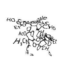 CCC(=O)O[C@@H]1C(C)O[C@@H](O[C@@H]2C(C)O[C@@H](O[C@@H]([C@@H](CC(OC)OC)C[C@@H](C)[C@H](C=O)OC(C)=O)[C@@H](OC)[C@@H](CC(=O)O)OC(=O)CC)C(OC(C)=O)C2N(C)C)CC1(C)O